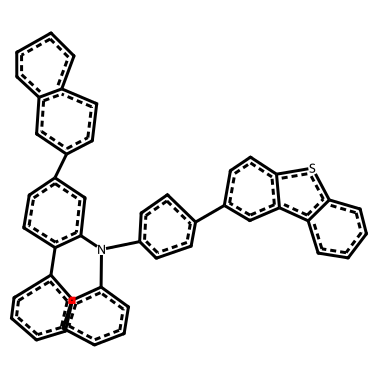 c1ccc(-c2ccc(-c3ccc4ccccc4c3)cc2N(c2ccccc2)c2ccc(-c3ccc4sc5ccccc5c4c3)cc2)cc1